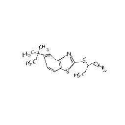 CC(C)Sc1nc2cc(C(C)(C)C)ccc2s1